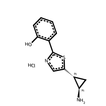 Cl.N[C@@H]1C[C@H]1c1cnc(-c2ccccc2O)s1